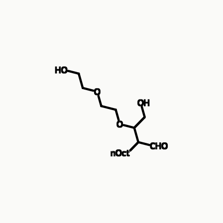 CCCCCCCCC(C=O)C(CO)OCCOCCO